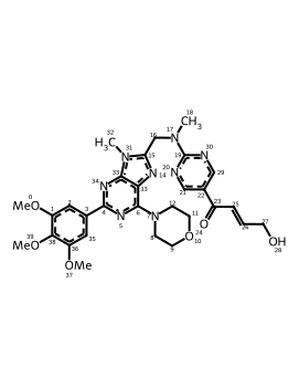 COc1cc(-c2nc(N3CCOCC3)c3nc(CN(C)c4ncc(C(=O)/C=C/CO)cn4)n(C)c3n2)cc(OC)c1OC